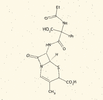 CCCC(NC(=O)CC)(C(=O)O)C(=O)NC1C(=O)N2C=C(C)C(C(=O)O)S[C@H]12